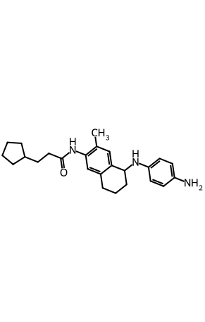 Cc1cc2c(cc1NC(=O)CCC1CCCC1)CCCC2Nc1ccc(N)cc1